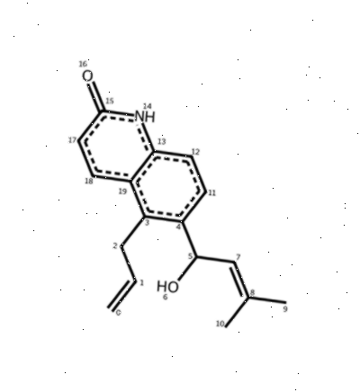 C=CCc1c(C(O)C=C(C)C)ccc2[nH]c(=O)ccc12